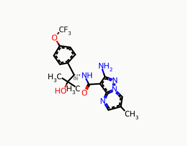 Cc1cnc2c(C(=O)N[C@@H](c3ccc(OC(F)(F)F)cc3)C(C)(C)O)c(N)nn2c1